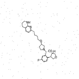 O=C(O)[C@H](c1cc(F)ccc1[C@H]1CCOC1)N1CC[C@@H](OCCCCc2ccc3c(n2)NCCC3)C1